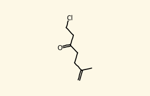 C=C(C)CCC(=O)CCCl